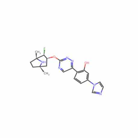 C[C@@]12CC[C@@](C)(N1)[C@@H](F)[C@@H](Oc1ncc(-c3ccc(-n4ccnc4)cc3O)nn1)C2